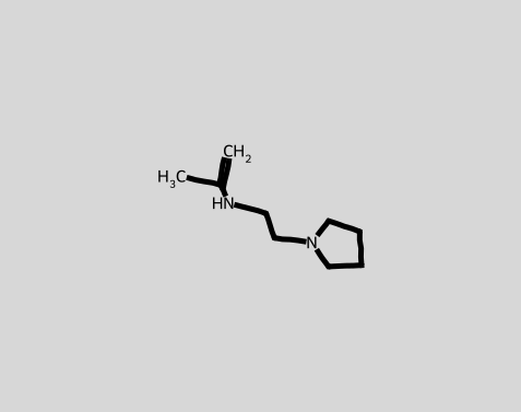 C=C(C)NCCN1CCCC1